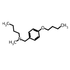 CCCCOc1ccc(CN(C)CCCC)cc1